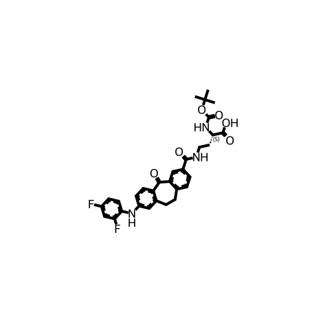 CC(C)(C)OC(=O)N[C@@H](CCNC(=O)c1ccc2c(c1)C(=O)c1ccc(Nc3ccc(F)cc3F)cc1CC2)C(=O)O